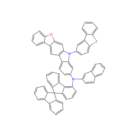 c1ccc2c(c1)-c1ccccc1C21c2ccccc2-c2c(N(c3ccc4ccccc4c3)c3ccc4c5cc6c(cc5n(-c5ccc7sc8ccccc8c7c5)c4c3)oc3ccccc36)cccc21